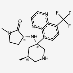 C[C@@H]1CNC[C@](N[C@@H]2CCN(C)C2=O)(c2ccc(C(F)(F)F)c3nccnc23)C1